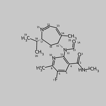 CNC(=O)c1cc(F)c(C)nc1N(C=O)[C@@H]1C[C@H](C(C)C)N=CC=C1C